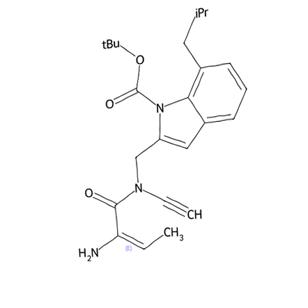 C#CN(Cc1cc2cccc(CC(C)C)c2n1C(=O)OC(C)(C)C)C(=O)/C(N)=C\C